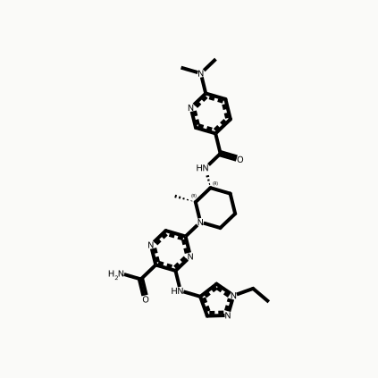 CCn1cc(Nc2nc(N3CCC[C@@H](NC(=O)c4ccc(N(C)C)nc4)[C@H]3C)cnc2C(N)=O)cn1